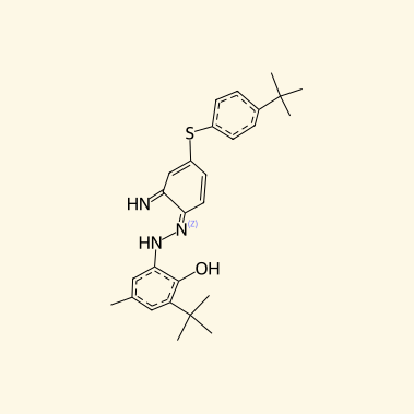 Cc1cc(N/N=C2/C=CC(Sc3ccc(C(C)(C)C)cc3)=CC2=N)c(O)c(C(C)(C)C)c1